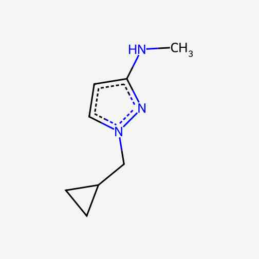 CNc1ccn(CC2CC2)n1